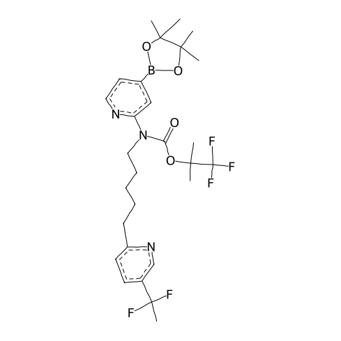 CC(F)(F)c1ccc(CCCCCN(C(=O)OC(C)(C)C(F)(F)F)c2cc(B3OC(C)(C)C(C)(C)O3)ccn2)nc1